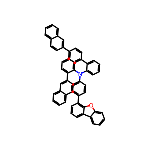 c1ccc(N(c2ccc(-c3cccc4c3oc3ccccc34)cc2)c2ccccc2-c2ccc3ccccc3c2)c(-c2ccc(-c3ccc4ccccc4c3)cc2)c1